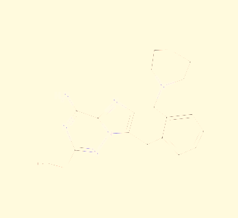 CCCCOc1nc(N)c2ncc(Cc3ccccc3CN3CCOCC3)n2n1